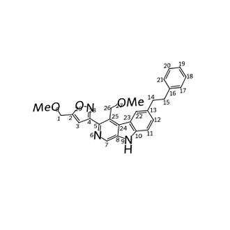 COCc1cc(-c2ncc3[nH]c4ccc(CCc5ccccc5)cc4c3c2COC)no1